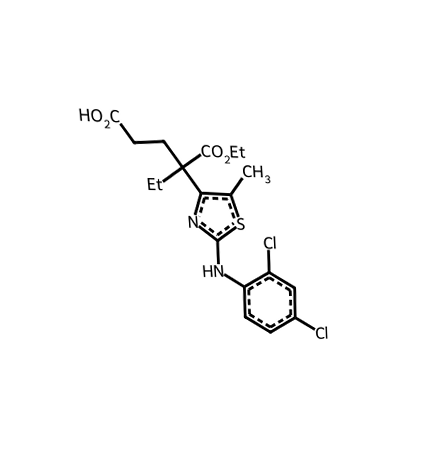 CCOC(=O)C(CC)(CCC(=O)O)c1nc(Nc2ccc(Cl)cc2Cl)sc1C